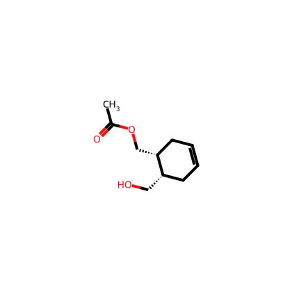 CC(=O)OC[C@@H]1CC=CC[C@@H]1CO